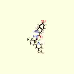 CC1CCN(C[C@@H](NC(=O)[C@H]2Cc3ccc(O)cc3CN2)C(C)C)CC1